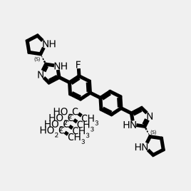 CC(=O)O.CC(=O)O.CC(=O)O.CC(=O)O.Fc1cc(-c2ccc(-c3cnc([C@@H]4CCCN4)[nH]3)cc2)ccc1-c1cnc([C@@H]2CCCN2)[nH]1